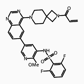 C=CC(=O)N1CC2(CCN(c3ncnc4ccc(-c5cnc(OC)c(NS(=O)(=O)c6c(F)cccc6F)c5)cc34)CC2)C1